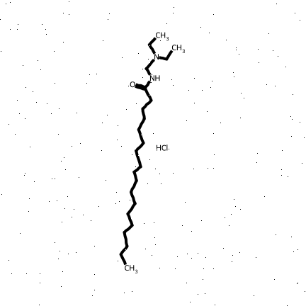 CCCCCCCCCCCCCCCCCC(=O)NCN(CC)CC.Cl